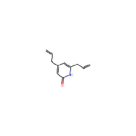 C=CCc1cc(CC=C)[nH]c(=O)c1